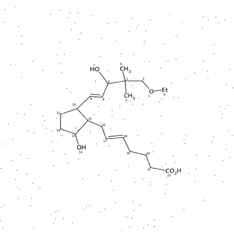 CCOCC(C)(C)C(O)C=CC1CCC(O)C1CC=CCCCC(=O)O